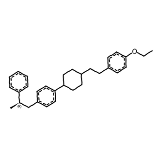 CCOc1ccc(CCC2CCC(c3ccc(C[C@@H](C)c4ccccc4)cc3)CC2)cc1